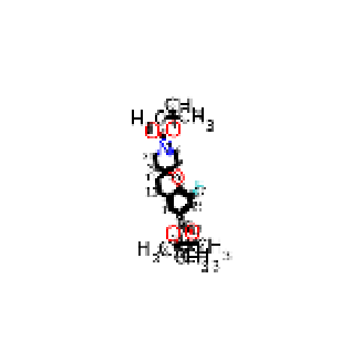 CC(C)(C)OC(=O)N1CCC2(C=Cc3cc(B4OC(C)(C)C(C)(C)O4)cc(F)c3O2)CC1